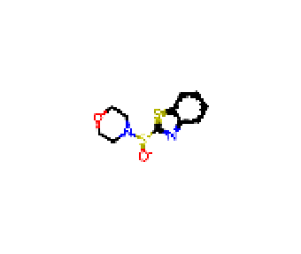 [O-][S+](c1nc2ccccc2s1)N1CCOCC1